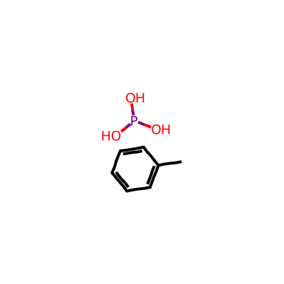 Cc1ccccc1.OP(O)O